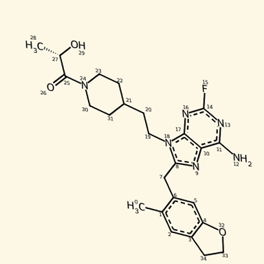 Cc1cc2c(cc1Cc1nc3c(N)nc(F)nc3n1CCC1CCN(C(=O)[C@H](C)O)CC1)OCC2